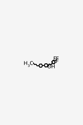 CCCCCC1CCC(C2CCC(O)(CCc3ccc(C(F)(F)F)cc3)CC2)CC1